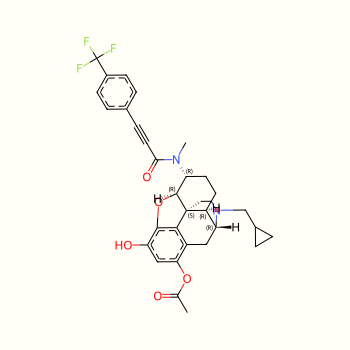 CC(=O)Oc1cc(O)c2c3c1C[C@@H]1[C@@H]4CC[C@@H](N(C)C(=O)C#Cc5ccc(C(F)(F)F)cc5)[C@H](O2)[C@]34CCN1CC1CC1